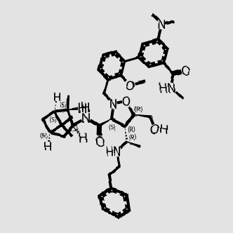 CNC(=O)c1cc(-c2cccc(CN3O[C@@H](CO)[C@H]([C@@H](C)NCCc4ccccc4)[C@H]3C(=O)N[C@H]3C[C@H]4C[C@@H]([C@@H]3C)C4(C)C)c2OC)cc(N(C)C)c1